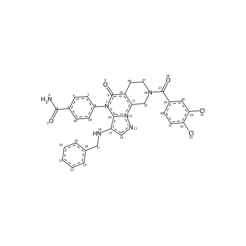 NC(=O)c1ccc(-n2c(=O)c3c(n4ncc(NCc5ccccc5)c24)CN(C(=O)c2ccc(Cl)c(Cl)c2)CC3)cc1